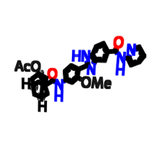 COc1cc(NC(=O)C23C[C@H]4C[C@@H](C2)C[C@](OC(C)=O)(C4)C3)ccc1-c1nc2cc(C(=O)Nc3ccccn3)ccc2[nH]1